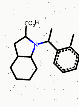 Cc1ccccc1C(C)N1C(C(=O)O)CC2CCCCC21